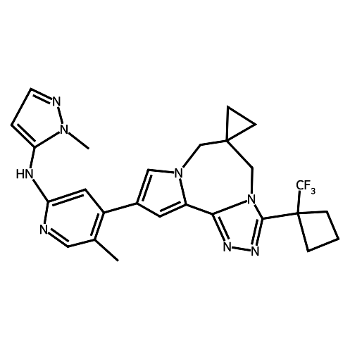 Cc1cnc(Nc2ccnn2C)cc1-c1cc2n(c1)CC1(CC1)Cn1c-2nnc1C1(C(F)(F)F)CCC1